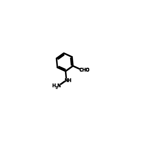 NNc1ccccc1C=O